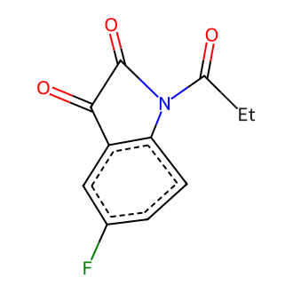 CCC(=O)N1C(=O)C(=O)c2cc(F)ccc21